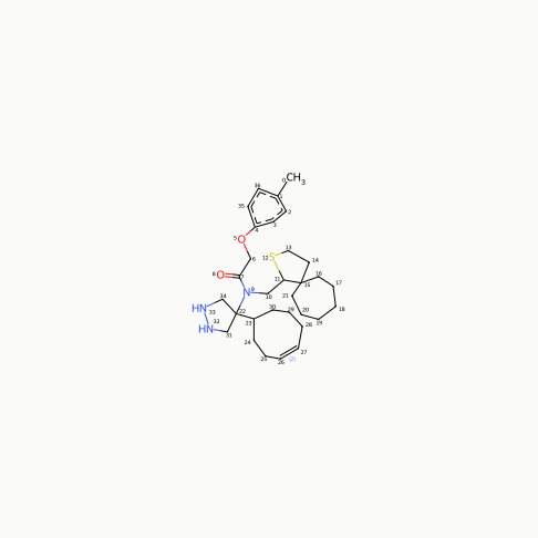 Cc1ccc(OCC(=O)N(CC2SCCC23CCCCCC3)C2(C3CC/C=C\CCC3)CNNC2)cc1